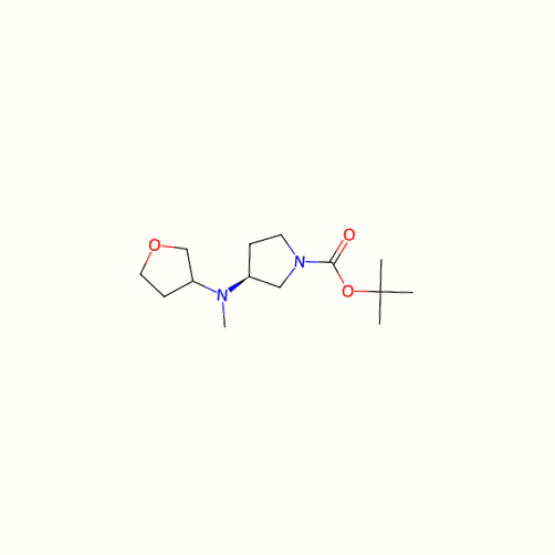 CN(C1CCOC1)[C@H]1CCN(C(=O)OC(C)(C)C)C1